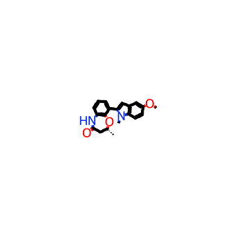 COc1ccc2c(c1)cc(-c1cccc3c1O[C@H](C)CC(=O)N3)n2C